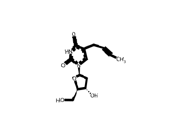 CC#CCc1cn([C@H]2C[C@H](O)[C@@H](CO)O2)c(=O)[nH]c1=O